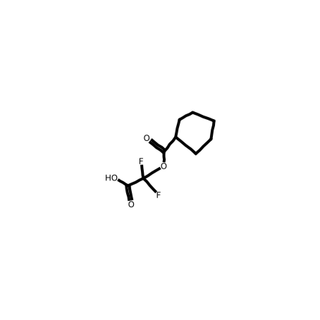 O=C(OC(F)(F)C(=O)O)C1CCCCC1